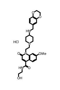 COc1ccc2c(C(=O)NCCO)cc(=O)n(CCN3CCC(NCc4ccc5c(c4)OCCO5)CC3)c2c1.Cl